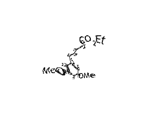 CCOC(=O)/C=C/C=C/c1cc(OC)cc(OC)c1